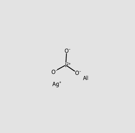 [Ag+].[Al].[O-][I+2]([O-])[O-]